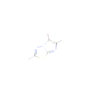 Cc1nc2sc(C(C)(C)C)nn2c1I